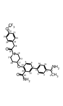 CC(N)c1ccc(-c2ccc(OC3CCN(C(=O)Cc4ccc(OC(F)(F)F)cc4)CC3)c(C(N)=O)c2)cc1